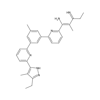 CCC(=N)/C(C)=C(\N)c1cccc(-c2cc(C)cc(-c3cccc(-c4[nH]nc(CC)c4C)n3)c2)n1